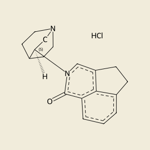 Cl.O=c1c2cccc3c2c(cn1[C@@H]1CN2CCC1CC2)CC3